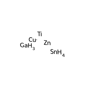 [Cu].[GaH3].[SnH4].[Ti].[Zn]